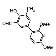 COc1ccc(-c2cc(C)c(O)c(C=O)c2)c(OC)n1